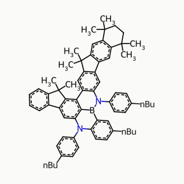 CCCCc1ccc(N2B3c4cc(CCCC)ccc4N(c4ccc(CCCC)cc4)c4cc5c(c(c43)-c3cc4c(cc32)-c2cc3c(cc2C4(C)C)C(C)(C)CCC3(C)C)C(C)(C)c2ccccc2-5)cc1